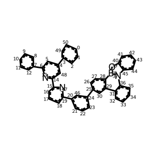 c1ccc(-c2cc(-c3ccccc3)nc(-c3cccc(-c4cccc(-c5ccc6c(c5)-c5ccccc5N5B6Oc6ccccc65)c4)n3)c2)cc1